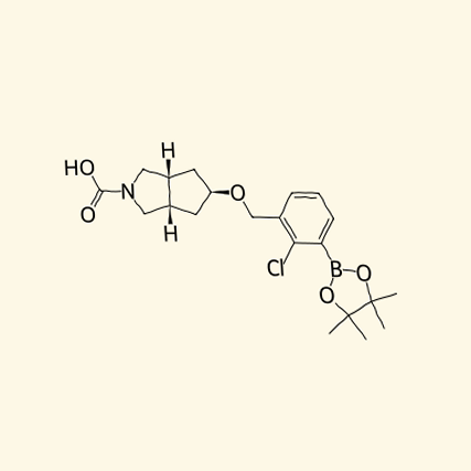 CC1(C)OB(c2cccc(CO[C@H]3C[C@@H]4CN(C(=O)O)C[C@@H]4C3)c2Cl)OC1(C)C